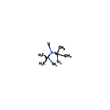 [Li][N]([Sn]([CH3])([CH3])[CH3])[Sn]([CH3])([CH3])[CH3]